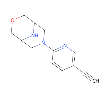 C#Cc1ccc(N2CC3COCC(C2)N3)nc1